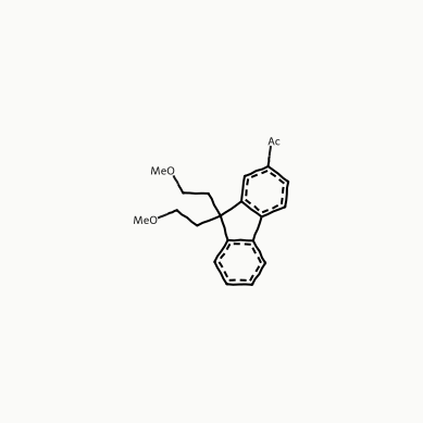 COCCC1(CCOC)c2ccccc2-c2ccc(C(C)=O)cc21